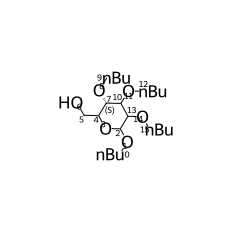 CCCCOC1OC(CO)[C@H](OCCCC)C(OCCCC)C1OCCCC